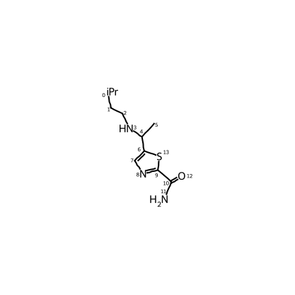 CC(C)CCNC(C)c1cnc(C(N)=O)s1